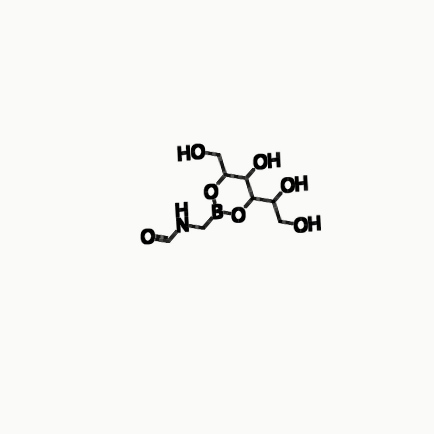 O=CNCB1OC(CO)C(O)C(C(O)CO)O1